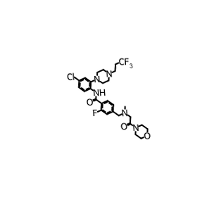 CN(CC(=O)N1CCOCC1)Cc1ccc(C(=O)Nc2ccc(Cl)cc2N2CCN(CCC(F)(F)F)CC2)c(F)c1